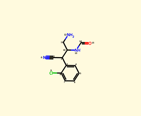 N#CC(c1ccccc1Cl)C(CN)NC=O